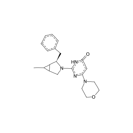 CC1C2CN(c3nc(N4CCOCC4)cc(=O)[nH]3)[C@H](Cc3ccccc3)C12